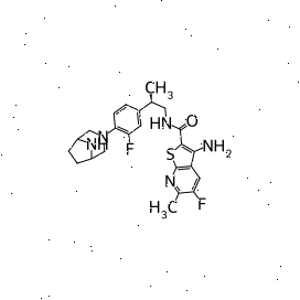 Cc1nc2sc(C(=O)NC[C@H](C)c3ccc(N4CC5CCC(C4)N5)c(F)c3)c(N)c2cc1F